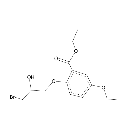 CCOC(=O)c1cc(OCC)ccc1OCC(O)CBr